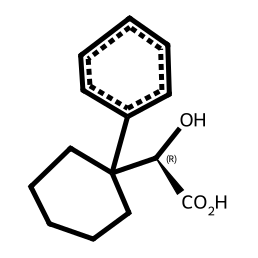 O=C(O)[C@H](O)C1(c2ccccc2)CCCCC1